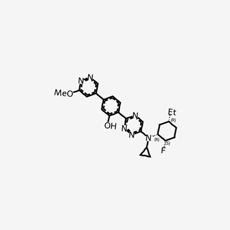 CC[C@@H]1CC[C@H](F)[C@H](N(c2cnc(-c3ccc(-c4cnnc(OC)c4)cc3O)nn2)C2CC2)C1